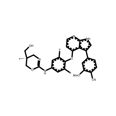 COc1cc(-c2c[nH]c3nccc(Oc4c(F)cc(NC5=NC[C@](C)(CO)CO5)cc4F)c23)ccc1C#N